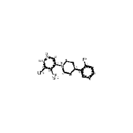 Fc1ccccc1C1CCN(c2cnnc(Cl)c2C(F)(F)F)CC1